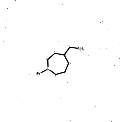 CC(C)N1CCCC(CN)CC1